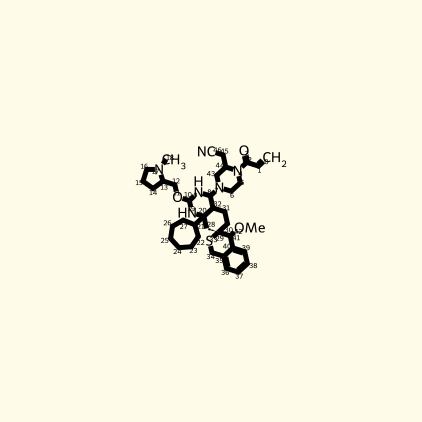 C=CC(=O)N1CCN(C2NC(OCC3CCCN3C)NC3(C4CCCCCC4)C[C@@]4(CCC23)SCc2ccccc2C4OC)CC1CC#N